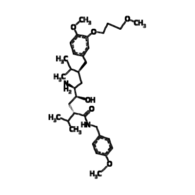 COCCCOc1cc(C[C@@H](C[C@H](N)[C@@H](O)C[C@H](C(=O)NCc2ccc(OC)cc2)C(C)C)C(C)C)ccc1OC